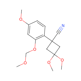 COCOc1cc(OC)ccc1C1(C#N)CC(OC)(OC)C1